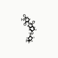 O=C1CCC(N2Cc3cc(OC[C@H]4CCC(F)(F)C4)ccc3C2=O)C(=O)N1